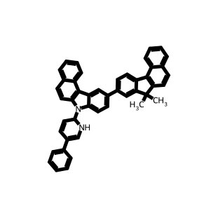 CC1(C)c2cc(-c3ccc4c(c3)c3c5ccccc5ccc3n4C3C=CC(c4ccccc4)=CN3)ccc2-c2c1ccc1ccccc21